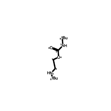 CC(C)(C)NCCOC(=O)NC(C)(C)C